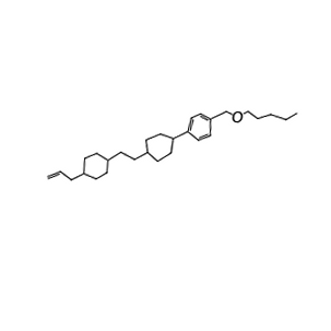 C=CCC1CCC(CCC2CCC(c3ccc(COCCCCC)cc3)CC2)CC1